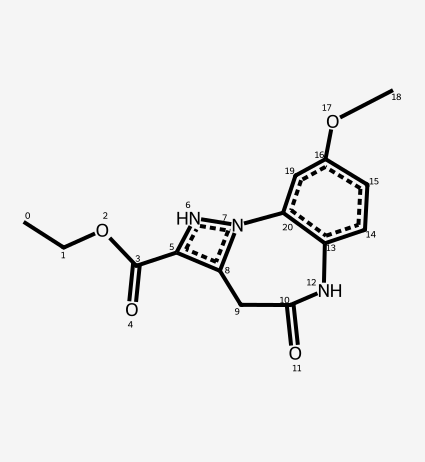 CCOC(=O)c1[nH]n2c1CC(=O)Nc1ccc(OC)cc1-2